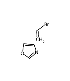 C=CBr.c1cocn1